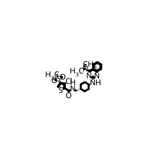 CN(C)c1nc(N[C@H]2CC[C@@H](CNC(=O)c3scc(S(C)(=O)=O)c3Cl)CC2)nc2ccccc12